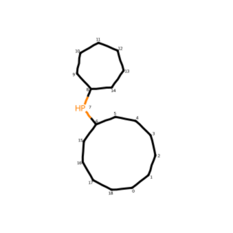 C1CCCCCC(PC2CCCCCC2)CCCC1